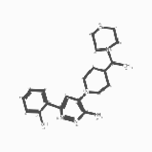 CC(C1CCN(c2cc(-c3ccccc3O)nnc2N)CC1)N1CCOCC1